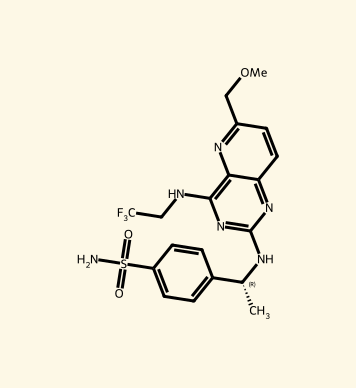 COCc1ccc2nc(N[C@H](C)c3ccc(S(N)(=O)=O)cc3)nc(NCC(F)(F)F)c2n1